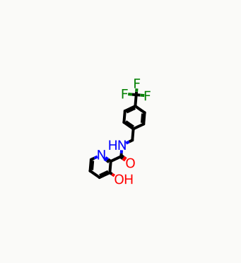 O=C(NCc1ccc(C(F)(F)F)cc1)c1ncccc1O